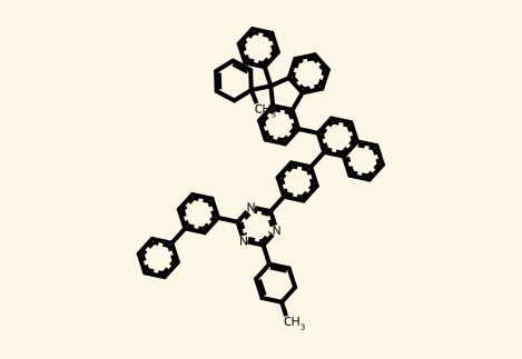 CC1C=CC(c2nc(-c3ccc(-c4c(-c5cccc6c5-c5ccccc5C6(c5ccccc5)C5(C)C=CC=CC5)ccc5ccccc45)cc3)nc(-c3cccc(-c4ccccc4)c3)n2)=CC1